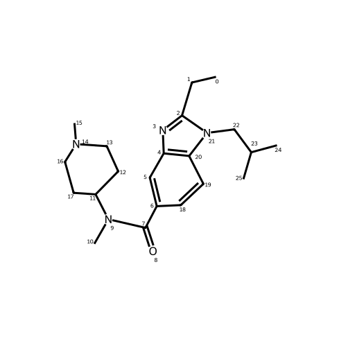 CCc1nc2cc(C(=O)N(C)C3CCN(C)CC3)ccc2n1CC(C)C